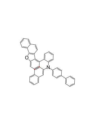 c1ccc(-c2ccc(N(c3ccc4ccccc4c3)c3ccccc3-c3cccc4oc5c6ccccc6ccc5c34)cc2)cc1